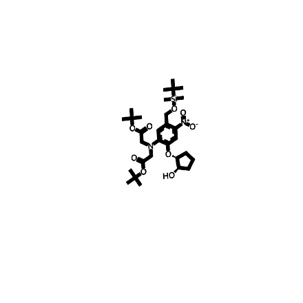 CC(C)(C)OC(=O)CN(CC(=O)OC(C)(C)C)c1cc(CO[Si](C)(C)C(C)(C)C)c([N+](=O)[O-])cc1O[C@@H]1CCC[C@H]1O